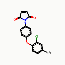 CCCc1ccc(Oc2ccc(N3C(=O)C=CC3=O)cc2)c(Cl)c1